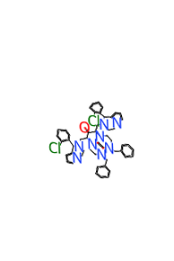 O=C(C(CN1CCn2cccc2C1c1ccccc1Cl)N1CCN(Cc2ccccc2)CC1)C(CN1CCn2cccc2C1c1ccccc1Cl)N1CCN(Cc2ccccc2)CC1